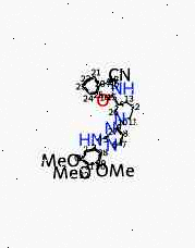 COc1cc(Nc2nccc(N3CCCC(C(=O)N[C@H](C#N)c4ccccc4)C3)n2)cc(OC)c1OC